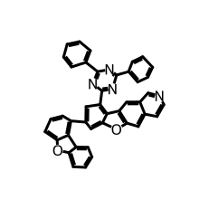 c1ccc(-c2nc(-c3ccccc3)nc(-c3cc(-c4cccc5oc6ccccc6c45)cc4oc5cc6ccncc6cc5c34)n2)cc1